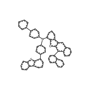 c1ccc(-c2ccc(N(c3ccc(-c4cccc5c4sc4ccccc45)cc3)c3cccc4c3oc3c(-c5cccc6ccccc56)c5ccccc5cc34)cc2)cc1